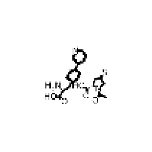 CC(=O)N1CC(=S)C[C@H]1C(=O)O.N[C@@H](Cc1ccc(-c2cccnc2)cc1)C(=O)O